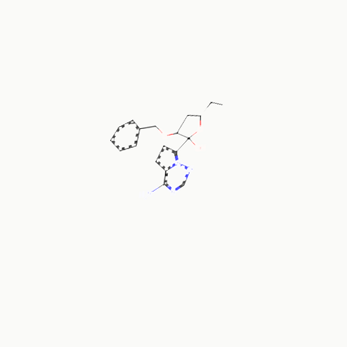 CC[C@H]1OC(O)(c2ccc3c(N)ncnn23)C(OCc2ccccc2)[C@@H]1C